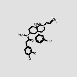 C=CCN1CC[C@@]2(c3cccc(O)c3)C[C@@H](N(C)C(=O)Cc3ccc(Cl)c(Cl)c3)CC[C@]2(OC)C1